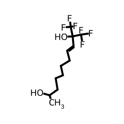 CC(O)CCCCC/C=C/C(O)(C(F)(F)F)C(F)(F)F